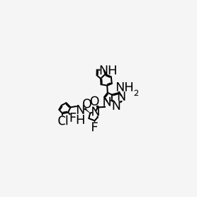 Nc1ncnc2c1c(-c1ccc3[nH]ccc3c1)cn2CC(=O)N1C[C@H](F)C[C@H]1C(=O)NCc1cccc(Cl)c1F